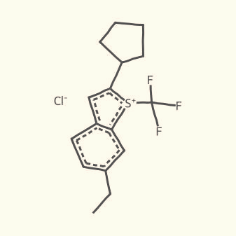 CCc1ccc2cc(C3CCCC3)[s+](C(F)(F)F)c2c1.[Cl-]